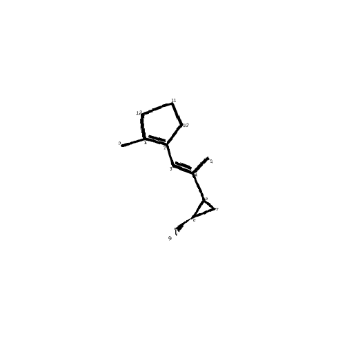 CC1=C(/C=C(\C)C2C[C@H]2I)CCC1